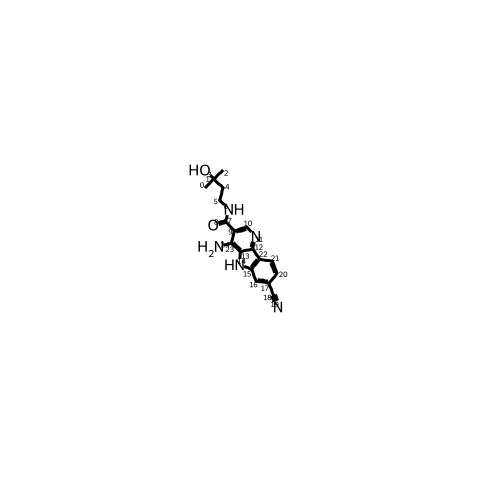 CC(C)(O)CCNC(=O)c1cnc2c([nH]c3cc(C#N)ccc32)c1N